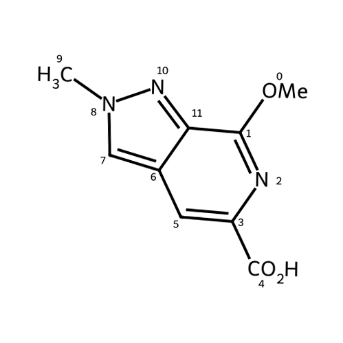 COc1nc(C(=O)O)cc2cn(C)nc12